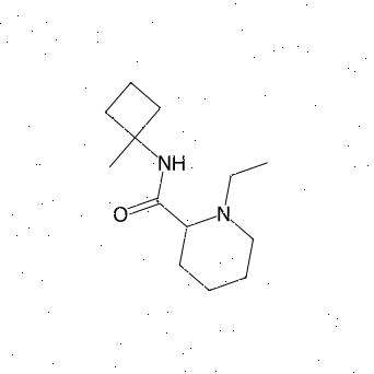 CCN1CCCCC1C(=O)NC1(C)CCC1